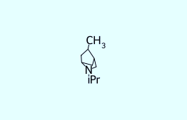 CC1CC2CC1CN2C(C)C